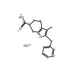 Cc1c(Cc2cccnc2)sc2c1CCC(C(=O)O)C2.Cl